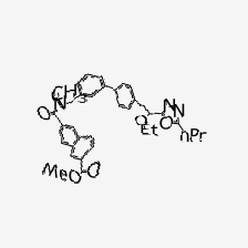 CCCc1nnc(C(Cc2ccc(-c3cccc(CN(C)C(=O)c4ccc5cc(C(=O)OC)ccc5c4)c3)cc2)OCC)o1